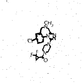 CN1Cc2cc(Cl)ccc2-n2c(nnc2N2CCN(C(=O)C3CC3(F)F)CC2)C1